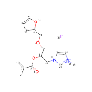 C=C(C)C(=O)OC(COCc1ccco1)Cn1cc[n+](C)c1.[I-]